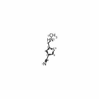 CNCc1cc(C#N)cs1